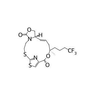 C[C@@]1(CCCC(F)(F)F)C/C=C/[C@H]2COC(=O)N2CCSc2nc(cs2)C(=O)O1